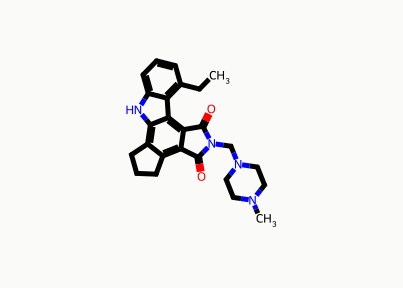 CCc1cccc2[nH]c3c4c(c5c(c3c12)C(=O)N(CN1CCN(C)CC1)C5=O)CCC4